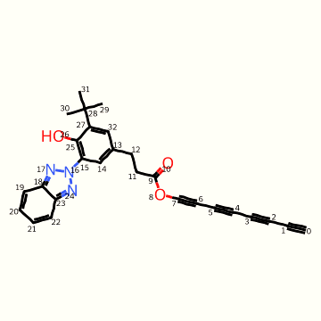 C#CC#CC#CC#COC(=O)CCc1cc(-n2nc3ccccc3n2)c(O)c(C(C)(C)C)c1